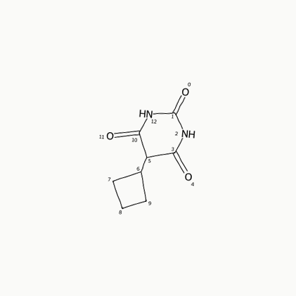 O=C1NC(=O)C(C2CCC2)C(=O)N1